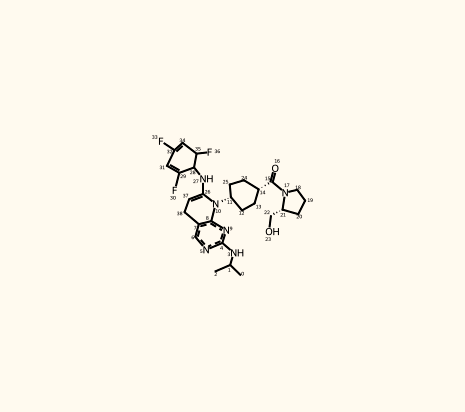 CC(C)Nc1ncc2c(n1)N([C@H]1CC[C@@H](C(=O)N3CCC[C@@H]3CO)CC1)C(NC1C(F)=CC(F)=CC1F)=CC2